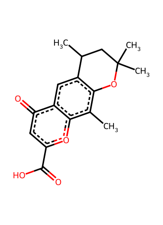 Cc1c2c(cc3c(=O)cc(C(=O)O)oc13)C(C)CC(C)(C)O2